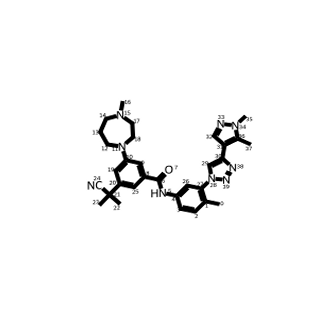 Cc1ccc(NC(=O)c2cc(N3CCCN(C)CC3)cc(C(C)(C)C#N)c2)cc1-n1cc(-c2cnn(C)c2C)nn1